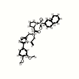 C=CCN(Cc1nc(-c2ccc(OC)c(OC)c2)no1)C(=O)C1CCCN1S(=O)(=O)c1ccc2ccccc2c1